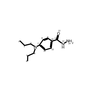 CCCN(CCC)c1ccc(C(=O)NN)cc1